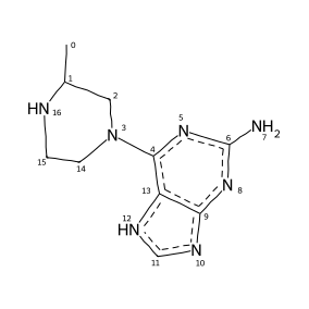 CC1CN(c2nc(N)nc3nc[nH]c23)CCN1